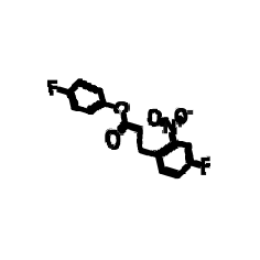 O=C(CCc1ccc(F)cc1[N+](=O)[O-])Oc1ccc(F)cc1